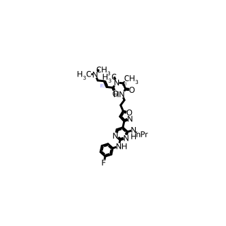 CCCNc1nc(Nc2cccc(F)c2)ncc1-c1cc(CCNC(=O)[C@H](C)N(C)C(=O)/C=C/CN(C)C)on1